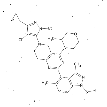 CCn1nc(C2CC2)c(Cl)c1N1CCc2nc(-c3c(C)ccc4c3c(C)nn4SI)nc(N3CCOCC3C)c2C1